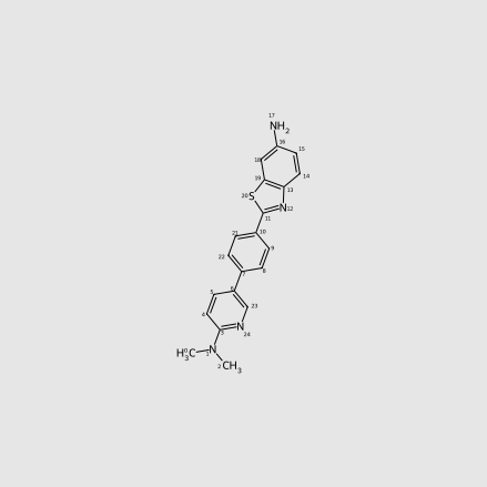 CN(C)c1ccc(-c2ccc(-c3nc4ccc(N)cc4s3)cc2)cn1